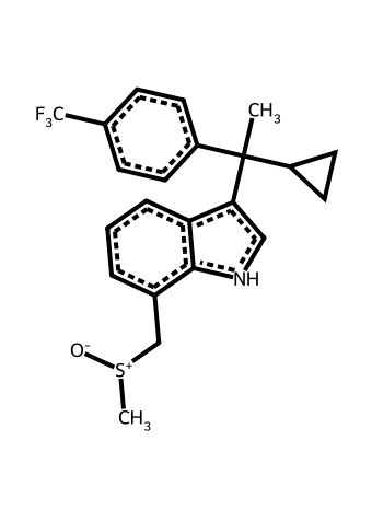 C[S+]([O-])Cc1cccc2c(C(C)(c3ccc(C(F)(F)F)cc3)C3CC3)c[nH]c12